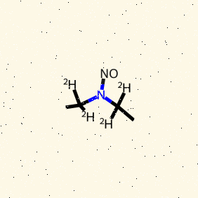 [2H]C([2H])(C)N(N=O)C([2H])([2H])C